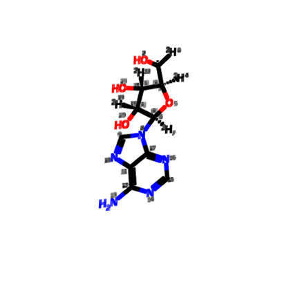 [2H]C(O)[C@@]1([2H])O[C@@]([2H])(n2cnc3c(N)ncnc32)[C@]([2H])(O)[C@]1([2H])O